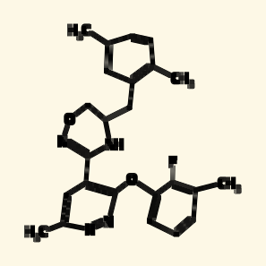 Cc1ccc(C)c(CC2CON=C(c3cc(C)nnc3Oc3cccc(C)c3F)N2)c1